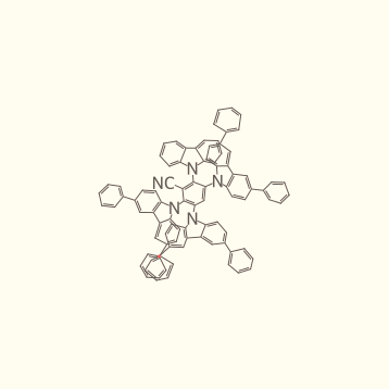 N#Cc1c(-n2c3ccccc3c3ccccc32)c(-n2c3ccc(-c4ccccc4)cc3c3cc(-c4ccccc4)ccc32)cc(-n2c3ccc(-c4ccccc4)cc3c3cc(-c4ccccc4)ccc32)c1-n1c2ccc(-c3ccccc3)cc2c2cc(-c3ccccc3)ccc21